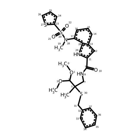 COC(OC)C(C)(CNC(=O)c1cc2cccc(N(C)S(=O)(=O)c3cccs3)c2[nH]1)SCc1ccccc1